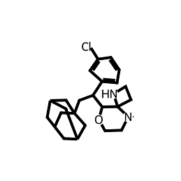 Clc1cccc(C(CC23CC4CC(CC(C4)C2)C3)C2OCC[N]C23CCN3)c1